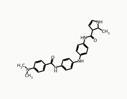 CC1NC=CC1C(=O)Nc1ccc(Nc2ccc(NC(=O)c3ccc(N(C)C)cc3)cc2)cc1